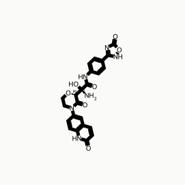 N[C@@](O)(C(=O)Nc1ccc(-c2nc(=O)o[nH]2)cc1)[C@H]1OCCN(c2ccc3[nH]c(=O)ccc3c2)C1=O